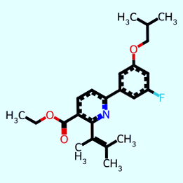 CCOC(=O)c1ccc(-c2cc(F)cc(OCC(C)C)c2)nc1C(C)=C(C)C